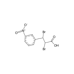 O=C(O)C(Br)C(Br)c1cccc([N+](=O)[O-])c1